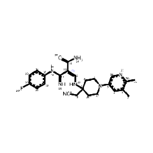 Cc1cc(N2CCC(CC#N)(N/C=C(\C(=N)Nc3ccc(F)cc3)C(N)=O)CC2)cnc1C